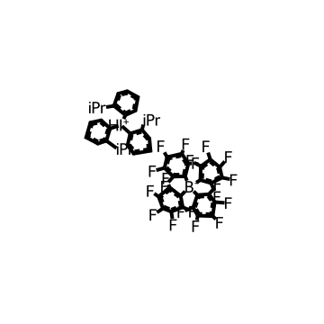 CC(C)c1ccccc1[IH+](c1ccccc1C(C)C)c1ccccc1C(C)C.Fc1c(F)c(F)c([B-](c2c(F)c(F)c(F)c(F)c2F)(c2c(F)c(F)c(F)c(F)c2F)c2c(F)c(F)c(F)c(F)c2F)c(F)c1F